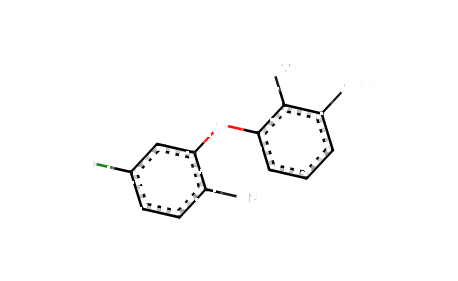 COc1c(C=O)cccc1Oc1cc(Cl)ccc1C#N